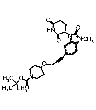 Cn1c(=O)n(C2CCC(=O)NC2=O)c2cc(C#CCOC3CCN(C(=O)OC(C)(C)C)CC3)ccc21